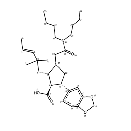 C/C=C/C(C)(C)C[C@H]1[C@H](C(=O)O)[C@@H](c2ccc3c(c2)OCO3)CN1CC(=O)N(CCCC)CCCC